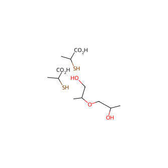 CC(O)COC(C)CO.CC(S)C(=O)O.CC(S)C(=O)O